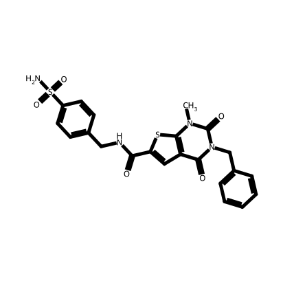 Cn1c(=O)n(Cc2ccccc2)c(=O)c2cc(C(=O)NCc3ccc(S(N)(=O)=O)cc3)sc21